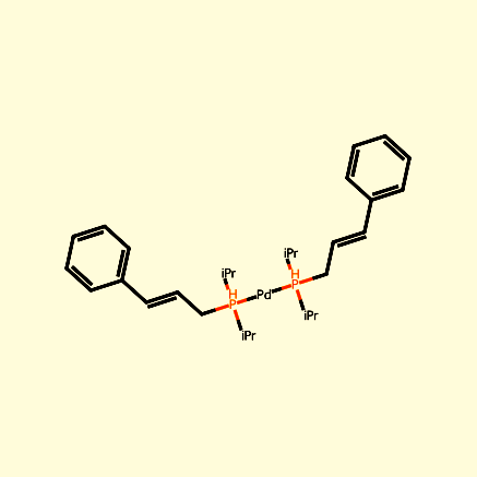 CC(C)[PH](C/C=C/c1ccccc1)([Pd][PH](C/C=C/c1ccccc1)(C(C)C)C(C)C)C(C)C